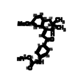 CCCOC(=O)Nc1ccc(C(=O)C=C2NC(C)(C)Cc3ccc(OC)cc32)cc1